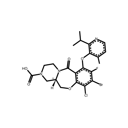 Cc1ccnc(C(C)C)c1Oc1c(F)c(Br)c(Cl)c2c1C(=O)N1CCN(C(=O)O)C[C@H]1CO2